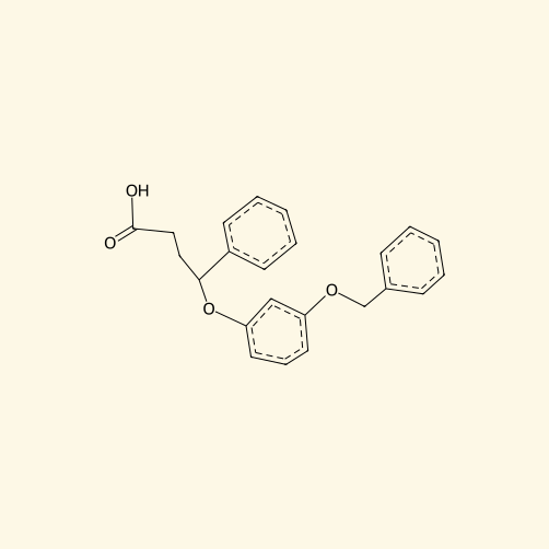 O=C(O)CCC(Oc1cccc(OCc2ccccc2)c1)c1ccccc1